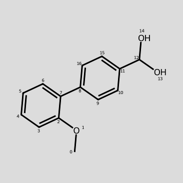 COc1ccccc1-c1ccc(C(O)O)cc1